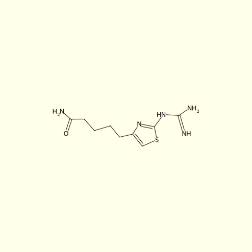 N=C(N)Nc1nc(CCCCC(N)=O)cs1